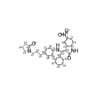 O=C1Nc2ccc([N+](=O)[O-])cc2C1=C(Nc1ccc(CCCN2CCCC2=O)cc1)c1ccccc1